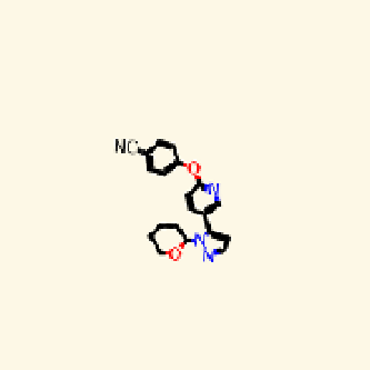 N#Cc1ccc(Oc2ccc(-c3ccnn3C3CCCCO3)cn2)cc1